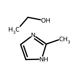 CCO.Cc1ncc[nH]1